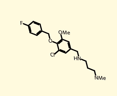 CNCCCNCc1cc(Cl)c(OCc2ccc(F)cc2)c(OC)c1